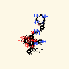 CCC1CC(C(=O)NCCNCc2ccc(CN3CCCNCCNCCCNCC3)c(Br)c2)CC(OC2OC(CO)C(O)C(O[C@@H](CC3CCCCC3)C(=O)O)C2NC(=O)C2CCNCC2)C1OC1OC(C)C(O)C(O)C1O